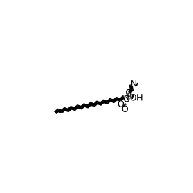 CCCCCCCCCCCCCCCCCCCCC(COP(O)OCCN(C)C)OC=O